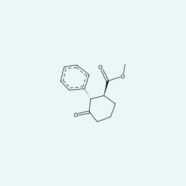 COC(=O)[C@H]1CCCC(=O)[C@@H]1c1ccccc1